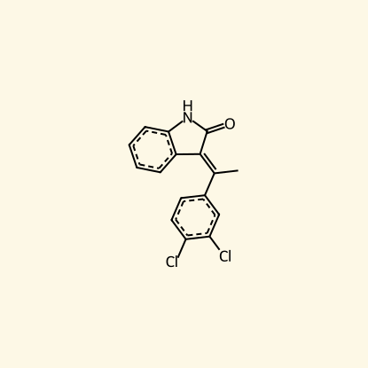 CC(=C1C(=O)Nc2ccccc21)c1ccc(Cl)c(Cl)c1